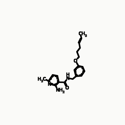 CC=CCCCOc1cccc(CNC(=O)c2ccc(C)nc2N)c1